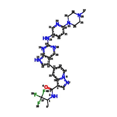 CC(NC(=O)c1cnn2ccc(-c3c[nH]c4nc(Nc5ccc(N6CCN(C)CC6)nc5)ncc34)cc12)C(F)(F)F